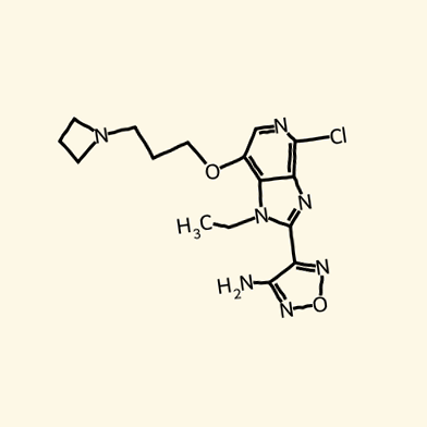 CCn1c(-c2nonc2N)nc2c(Cl)ncc(OCCCN3CCC3)c21